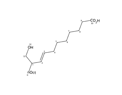 CCCCCCCCC(C=CCCCCCCC(=O)O)CO